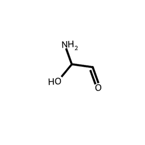 NC(O)C=O